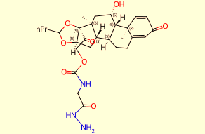 CCCC1O[C@@H]2C[C@H]3[C@@H]4CCC5=CC(=O)C=C[C@]5(C)[C@H]4[C@@H](O)C[C@]3(C)[C@]2(C(=O)COC(=O)NCC(=O)NN)O1